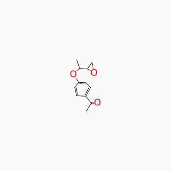 CC(=O)c1ccc(OC(C)C2CO2)cc1